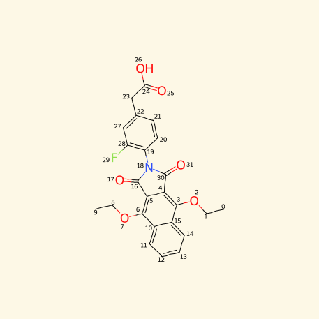 CCOc1c2c(c(OCC)c3ccccc13)C(=O)N(c1ccc(CC(=O)O)cc1F)C2=O